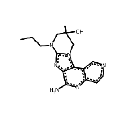 CCCN1CC(C)(O)Cn2c1nc1c(N)nc3ccncc3c12